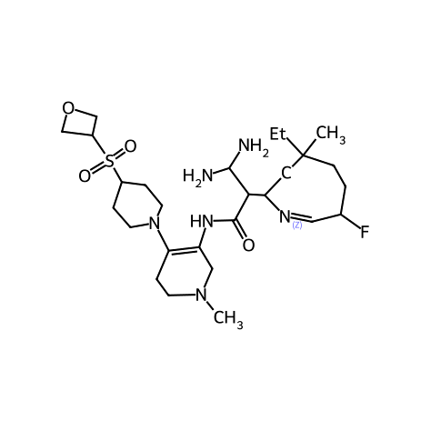 CCC1(C)CCC(F)/C=N\C(C(C(=O)NC2=C(N3CCC(S(=O)(=O)C4COC4)CC3)CCN(C)C2)C(N)N)C1